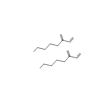 C=CC(=O)CCCCC.C=CC(=O)CCCCC.S.S